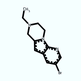 CCN1CCn2c(cc3cc(Br)cnc32)C1